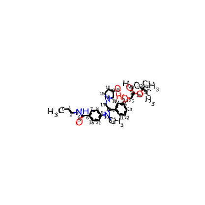 CCCNC(=O)c1ccc(N(C)C(CN2CCC(O)C2)c2cccc(OCC(=O)OC(C)(C)C)c2)cc1